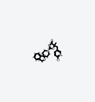 CC1(Cc2ccc(Cl)nc2)OC(N2CCC3(CC2)OCc2ccccc23)=NC1=O